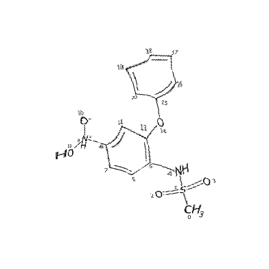 CS(=O)(=O)Nc1ccc([NH+]([O-])O)cc1Oc1ccccc1